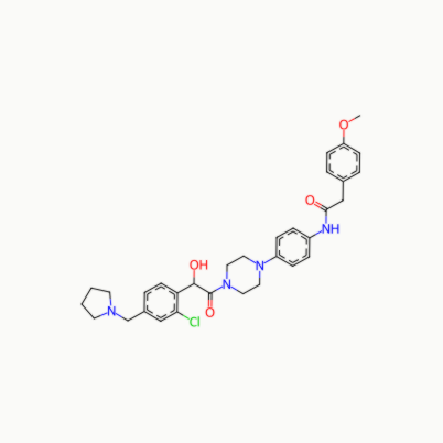 COc1ccc(CC(=O)Nc2ccc(N3CCN(C(=O)C(O)c4ccc(CN5CCCC5)cc4Cl)CC3)cc2)cc1